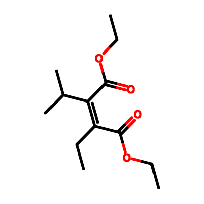 CCOC(=O)/C(CC)=C(\C(=O)OCC)C(C)C